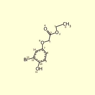 CCOC(=O)COc1ccc(O)c(Br)c1